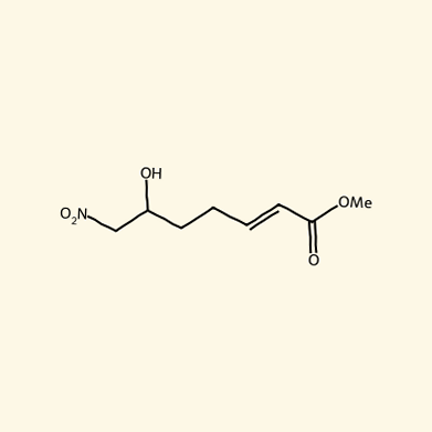 COC(=O)C=CCCC(O)C[N+](=O)[O-]